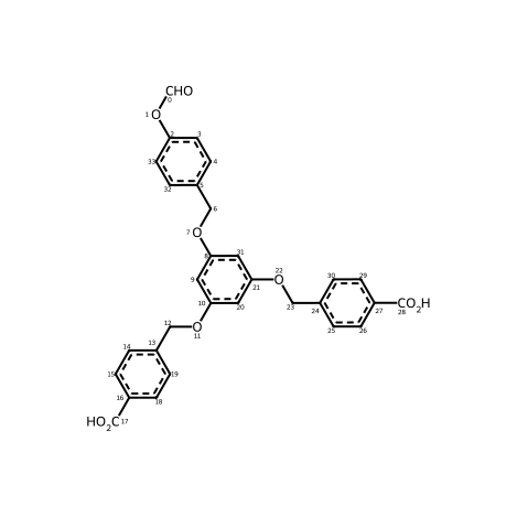 O=COc1ccc(COc2cc(OCc3ccc(C(=O)O)cc3)cc(OCc3ccc(C(=O)O)cc3)c2)cc1